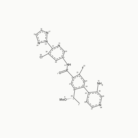 CO[C@@H](C)c1cc(C(=O)Nc2cnc(-n3nccn3)c(Cl)c2)c(F)cc1-c1ccncc1N